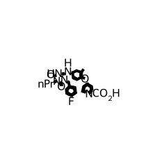 CCCN1C(=O)NC(NC2C=CC(Oc3ccnc(C(=O)O)c3)=C(C)C2)N(Cc2ccc(F)cc2)C1=O